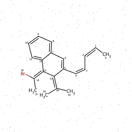 C/C=C\C=C/c1cc2ccccc2/c(=C(/C)Br)c1=C(C)C